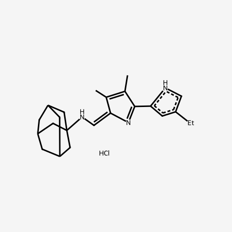 CCc1c[nH]c(C2=N/C(=C/NC34CC5CC(CC(C5)C3)C4)C(C)=C2C)c1.Cl